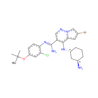 CC(C)(C)[Si](C)(C)Oc1ccc(/N=C(\N)c2cnn3cc(Br)cc3c2N[C@@H]2CCC[C@@H](N)C2)c(Cl)c1